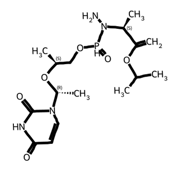 C=C(OC(C)C)[C@H](C)N(N)[PH](=O)OC[C@H](C)O[C@H](C)n1ccc(=O)[nH]c1=O